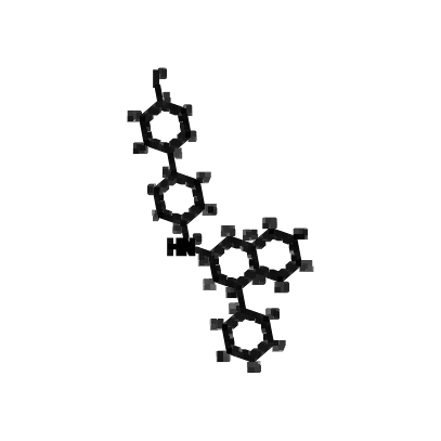 Ic1ccc(-c2ccc(Nc3cc(-c4ccccc4)c4ccccc4c3)cc2)cc1